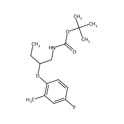 CCC(CNC(=O)OC(C)(C)C)Oc1ccc(F)cc1C